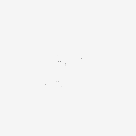 CC1(C)c2ccccc2-c2nc(-c3ccc(-n4c5ccccc5c5ccccc54)cc3)nc(-c3cc(-c4ccccc4)nc(-c4ccccc4)c3)c21